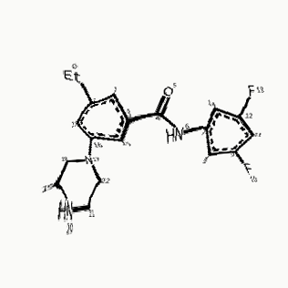 CCc1cc(C(=O)Nc2cc(F)cc(F)c2)cc(N2CCNCC2)c1